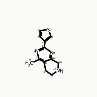 FC(F)(F)c1nc(-c2ccsc2)nc2c1CCNC2